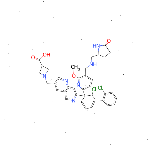 COc1nc(C2(c3cc4ncc(CN5CC(C(=O)O)C5)cc4cn3)C=CC=C(c3ccccc3Cl)C2Cl)ccc1CNCC1CCC(=O)N1